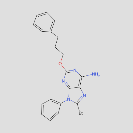 CCc1nc2c(N)nc(OCCCc3ccccc3)nc2n1-c1ccccc1